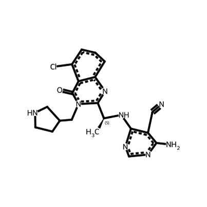 C[C@H](Nc1ncnc(N)c1C#N)c1nc2cccc(Cl)c2c(=O)n1CC1CCNC1